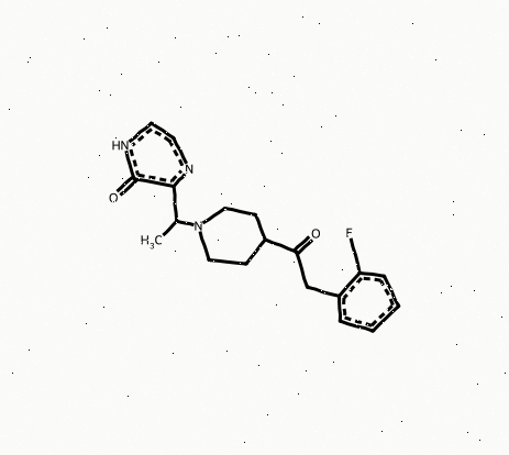 CC(c1ncc[nH]c1=O)N1CCC(C(=O)Cc2ccccc2F)CC1